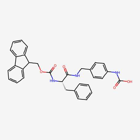 O=C(O)Nc1ccc(CNC(=O)[C@H](Cc2ccccc2)NC(=O)OCC2c3ccccc3-c3ccccc32)cc1